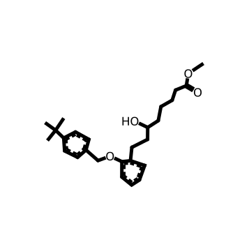 COC(=O)CCCCC(O)CCc1ccccc1OCc1ccc(C(C)(C)C)cc1